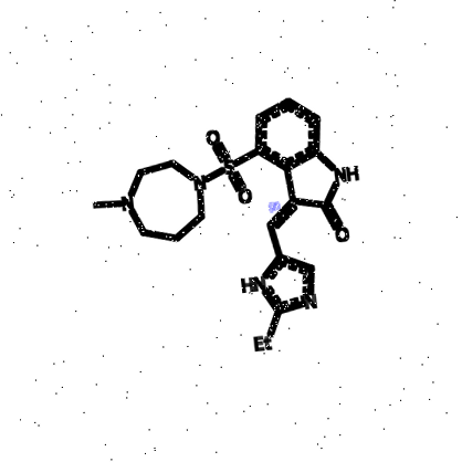 CCc1ncc(/C=C2\C(=O)Nc3cccc(S(=O)(=O)N4CCCN(C)CC4)c32)[nH]1